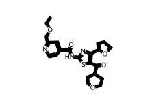 CCOCc1cc(C(=O)Nc2nc(C3=CCCO3)c(C(=O)C3CCOCC3)s2)ccn1